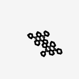 c1ccc(B2c3ccccc3B3c4c2cccc4N(c2ccccc2)c2ccc4c5c(ccc4c23)N(c2ccccc2)c2cccc3c2B5c2ccccc2N3c2ccccc2)cc1